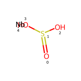 O=S(O)O.[Nb]